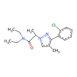 CCN(CC)C(=O)C(C)n1cc(C)c(-c2ccccc2Cl)n1